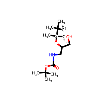 CC(C)(C)OC(=O)NCC(CO)O[Si](C)(C)C(C)(C)C